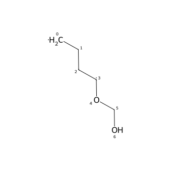 [CH2]CC[CH]OCO